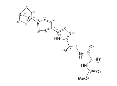 COC(=O)N[C@H](C(=O)NC[C@@H](C)c1ncc(-c2ccc(C34CCC(CC3)CC4)cc2)[nH]1)C(C)C